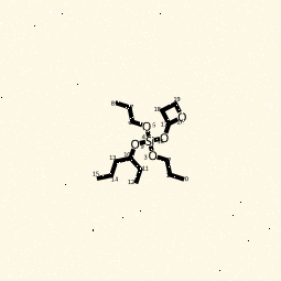 CCCO[Si](OCCC)(OC(CC)CCC)OC1CCO1